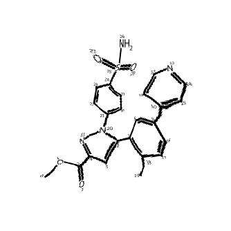 COC(=O)c1cc(-c2cc(-c3ccncc3)ccc2C)n(-c2ccc(S(N)(=O)=O)cc2)n1